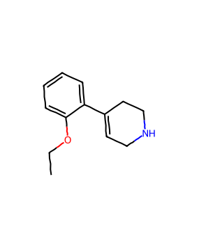 CCOc1ccccc1C1=CCNCC1